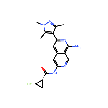 Cc1nn(C)c(C)c1-c1cc2cc(NC(=O)[C@@H]3C[C@@H]3F)ncc2c(N)n1